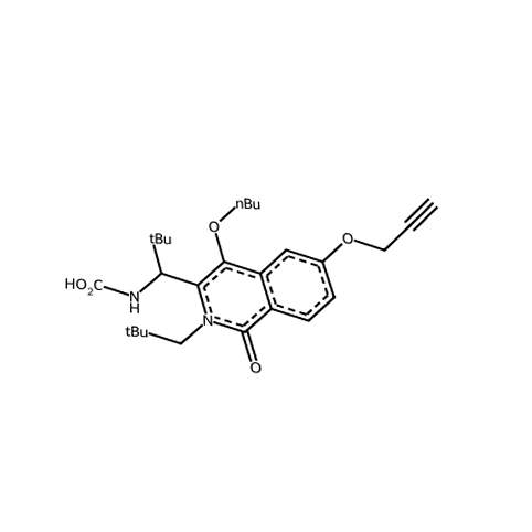 C#CCOc1ccc2c(=O)n(CC(C)(C)C)c(C(NC(=O)O)C(C)(C)C)c(OCCCC)c2c1